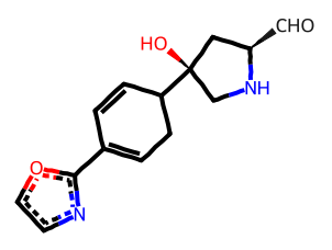 O=C[C@@H]1C[C@@](O)(C2C=CC(c3ncco3)=CC2)CN1